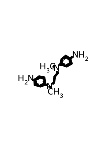 CN(CCCN(C)c1ccc(N)cc1)c1ccc(N)cc1